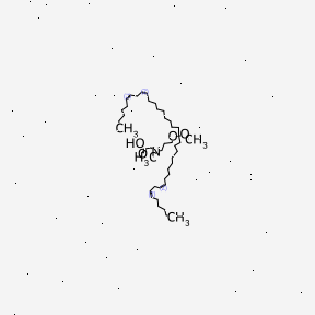 CCCCC/C=C\C/C=C\CCCCCCCCC(CCCCCCCC/C=C\C/C=C\CCCCC)(OC)OCCCN(C)CC(=O)O